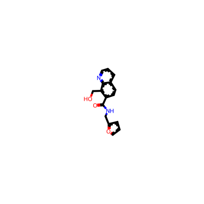 O=C(NCc1ccco1)c1ccc2cccnc2c1CO